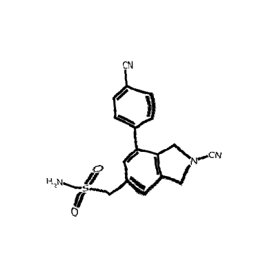 N#Cc1ccc(-c2cc(CS(N)(=O)=O)cc3c2CN(C#N)C3)cc1